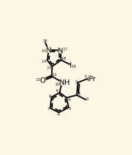 CC(=CC(C)C)c1ccccc1NC(=O)c1cn(C)nc1I